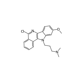 COc1ccc2c3nc(Cl)c4ccccc4c3n(CCCN(C)C)c2c1